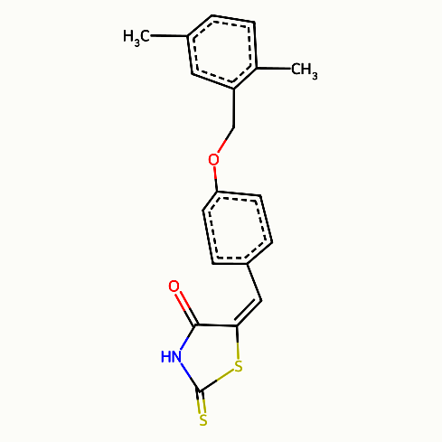 Cc1ccc(C)c(COc2ccc(C=C3SC(=S)NC3=O)cc2)c1